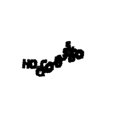 O=C(O)c1cc(-c2ccc(/C=C3\SC(=S)N(Cc4ccccc4)C3=O)o2)ccc1Cl